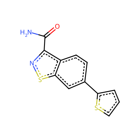 NC(=O)c1nsc2cc(-c3cccs3)ccc12